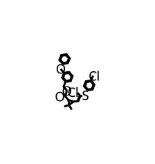 CC1(C)C(/C=C(\Cl)Sc2ccc(Cl)cc2)C1C(=O)OCc1cccc(Oc2ccccc2)c1